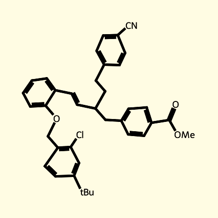 COC(=O)c1ccc(CC(C=Cc2ccccc2OCc2ccc(C(C)(C)C)cc2Cl)CCc2ccc(C#N)cc2)cc1